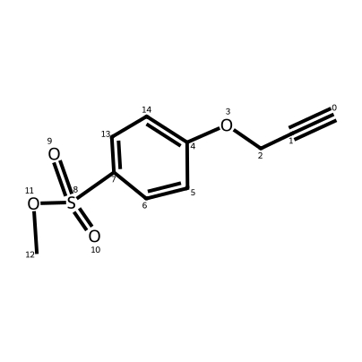 C#CCOc1ccc(S(=O)(=O)OC)cc1